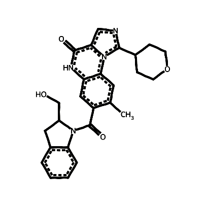 Cc1cc2c(cc1C(=O)N1c3ccccc3CC1CO)[nH]c(=O)c1cnc(C3CCOCC3)n12